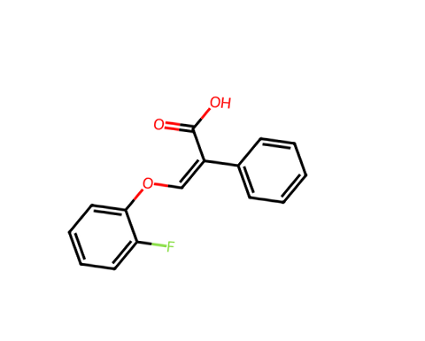 O=C(O)C(=COc1ccccc1F)c1ccccc1